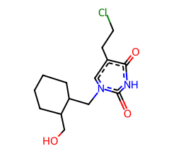 O=c1[nH]c(=O)n(CC2CCCCC2CO)cc1CCCl